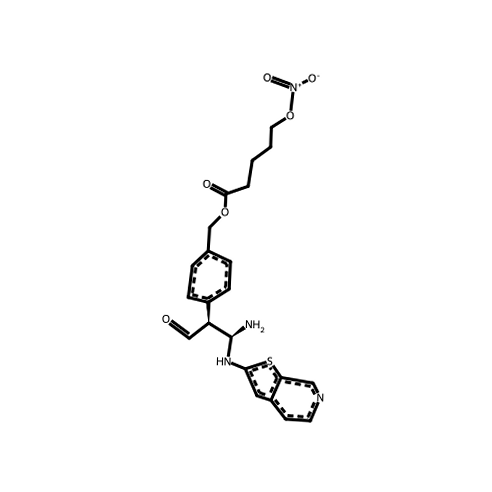 N[C@@H](Nc1cc2ccncc2s1)[C@@H](C=O)c1ccc(COC(=O)CCCCO[N+](=O)[O-])cc1